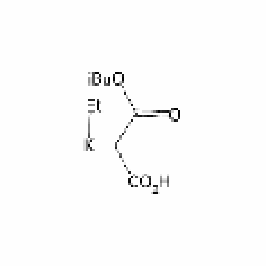 CC(C)COC(=O)CC(=O)O.C[CH2][K]